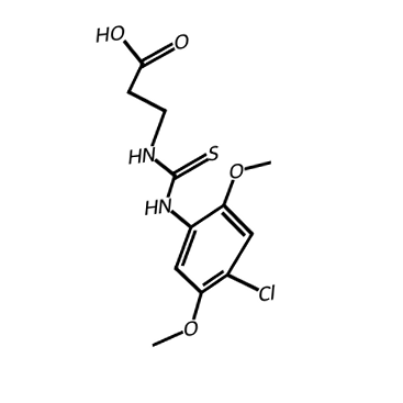 COc1cc(NC(=S)NCCC(=O)O)c(OC)cc1Cl